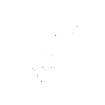 Cc1cc(C)n(-c2ncccc2NC(=O)c2csc(C3CCN(CCCC(F)(F)F)CC3)n2)n1